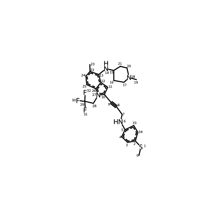 CSc1ccc(NCC#Cc2cc3c(NC4CCN(C)CC4)c(C)ccc3n2CC(F)(F)F)cc1